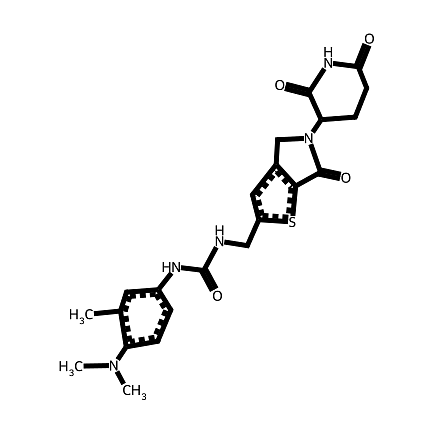 Cc1cc(NC(=O)NCc2cc3c(s2)C(=O)N(C2CCC(=O)NC2=O)C3)ccc1N(C)C